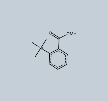 COC(=O)c1cccc[c]1[Sn]([CH3])([CH3])[CH3]